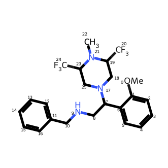 COc1ccccc1C(CNCc1ccccc1)N1CC(C(F)(F)F)N(C)C(C(F)(F)F)C1